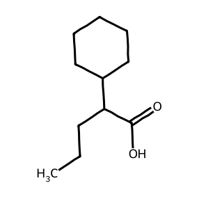 CCCC(C(=O)O)C1CCCCC1